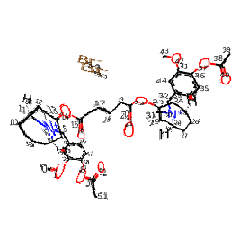 COc1cc(C[N+]2(C)[C@@H]3CC[C@H]2CC(OC(=O)CCCC(=O)OC2C[C@H]4CC[C@@H](C2)[N+]4(C)Cc2ccc(OC(C)=O)c(OC)c2)C3)ccc1OC(C)=O.[Br-].[Br-]